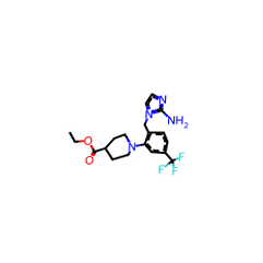 CCOC(=O)C1CCN(c2cc(C(F)(F)F)ccc2Cn2ccnc2N)CC1